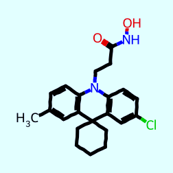 Cc1ccc2c(c1)C1(CCCCC1)c1cc(Cl)ccc1N2CCC(=O)NO